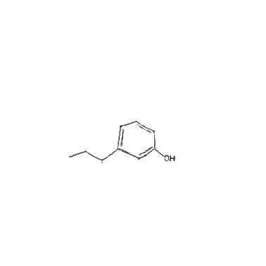 CC[CH]c1cccc(O)c1